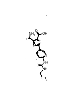 CCNC(=O)Nc1ccc(-c2nc(C(N)=O)c(C(=O)O)s2)cn1